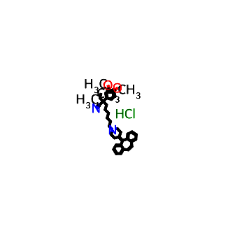 COc1ccc(C(C#N)(CCCCCCN2CCC(=C3c4ccccc4C=Cc4ccccc43)CC2)C(C)C)cc1OC.Cl